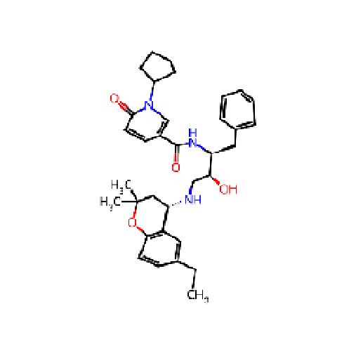 CCc1ccc2c(c1)[C@@H](NC[C@H](O)[C@H](Cc1ccccc1)NC(=O)c1ccc(=O)n(C3CCCC3)c1)CC(C)(C)O2